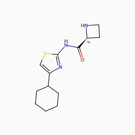 O=C(Nc1nc(C2CCCCC2)cs1)[C@@H]1CCN1